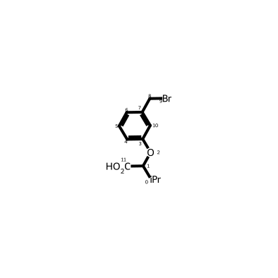 CC(C)C(Oc1cccc(CBr)c1)C(=O)O